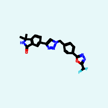 CC1(C)NC(=O)c2cc(-c3cn(Cc4ccc(-c5nnc(C(F)F)o5)cc4)nn3)ccc21